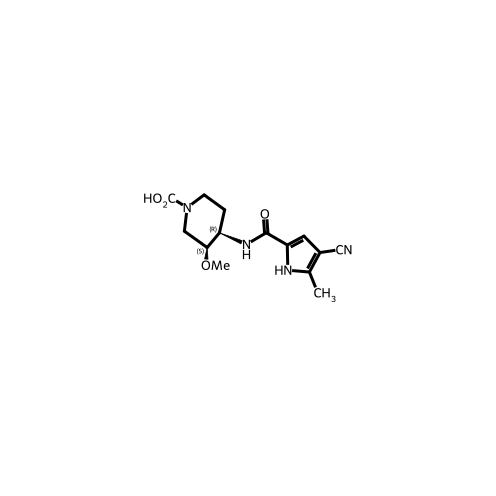 CO[C@H]1CN(C(=O)O)CC[C@H]1NC(=O)c1cc(C#N)c(C)[nH]1